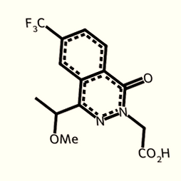 COC(C)c1nn(CC(=O)O)c(=O)c2ccc(C(F)(F)F)cc12